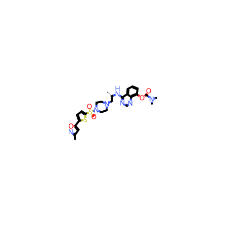 Cc1cc(-c2ccc(S(=O)(=O)N3CCN(C[C@H](C)Nc4ncnc5c(OC(=O)N(C)C)cccc45)CC3)s2)on1